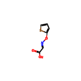 O=C(O)C=NOc1cccs1